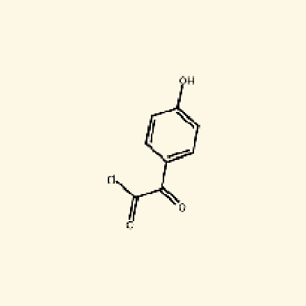 O=C(Cl)C(=O)c1ccc(O)cc1